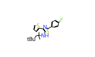 CC(C)(C)CC(C)(C)Nc1sc(-c2ccc(F)cc2)nc1-c1cccs1